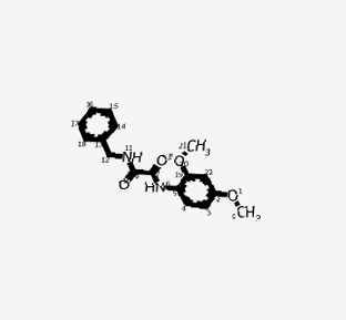 COc1ccc(NC(=O)C(=O)NCc2ccccc2)c(OC)c1